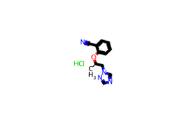 C[C@@H](Cn1cncn1)Oc1ccccc1C#N.Cl